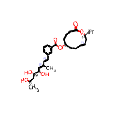 CC(/C=C/c1cccc(C(=O)O[C@@H]2CC/C=C/C[C@H](C(C)C)OC(=O)CCC2)c1)=C\[C@H](O)[C@@H](O)C[C@H](C)O